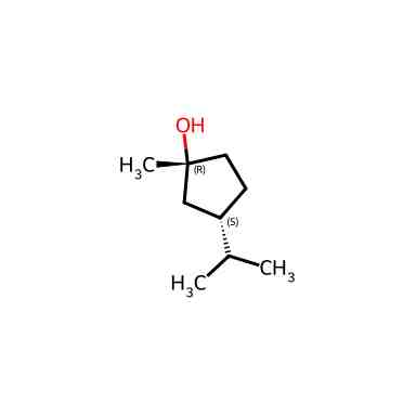 CC(C)[C@H]1CC[C@@](C)(O)C1